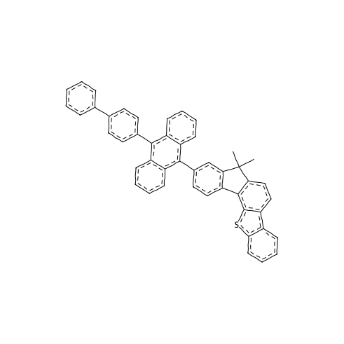 CC1(C)c2cc(-c3c4ccccc4c(-c4ccc(-c5ccccc5)cc4)c4ccccc34)ccc2-c2c1ccc1c2sc2ccccc21